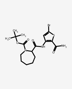 CC(C)(C)OC(=O)N1CCCCCC1C(=O)Nc1cc(Br)sc1C(N)=O